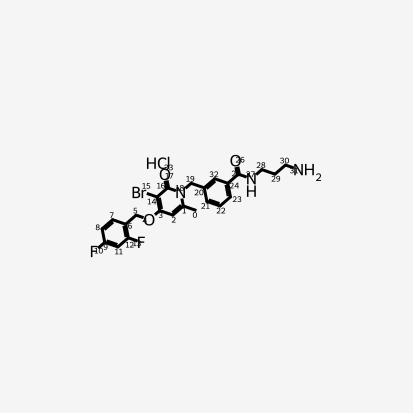 Cc1cc(OCc2ccc(F)cc2F)c(Br)c(=O)n1Cc1cccc(C(=O)NCCCN)c1.Cl